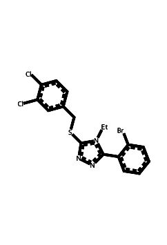 CCn1c(SCc2ccc(Cl)c(Cl)c2)nnc1-c1ccccc1Br